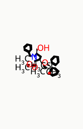 COC(=O)[C@H]1[C@H](CO[Si](c2ccccc2)(c2ccccc2)C(C)(C)C)C[C@H](CO)N1[C@@H](C)c1ccccc1